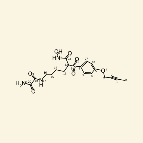 CC#CCOc1ccc(S(=O)(=O)C(CCCCNC(=O)C(N)=O)C(=O)NO)cc1